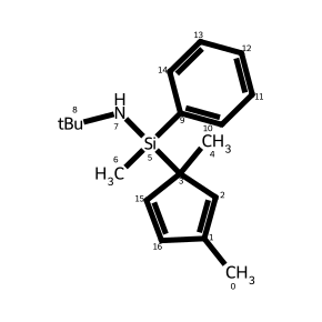 CC1=CC(C)([Si](C)(NC(C)(C)C)c2ccccc2)C=C1